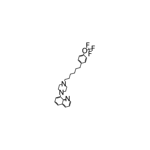 FC(F)(F)Oc1ccc(CCCCCCN2CCN(c3cccc4cccnc34)CC2)cc1